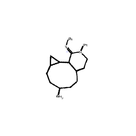 BC1CCC2CC2C2/C(=N/C(C)CC)N(C(C)C)CCC2CC1